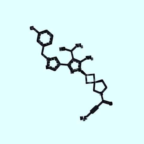 CC#CC(=O)N1CC[C@]2(C1)C[C@H](n1nc(-c3cnn(Cc4cccc(Cl)c4)c3)c(C(N)O)c1N)C2